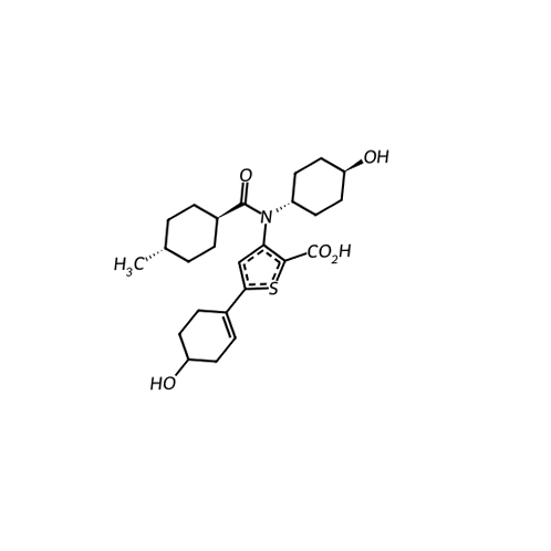 C[C@H]1CC[C@H](C(=O)N(c2cc(C3=CCC(O)CC3)sc2C(=O)O)[C@H]2CC[C@H](O)CC2)CC1